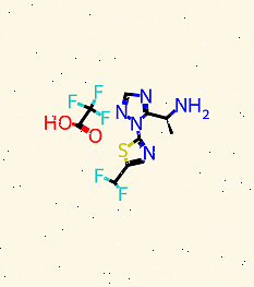 C[C@H](N)c1ncnn1-c1ncc(C(F)F)s1.O=C(O)C(F)(F)F